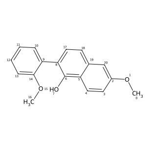 COc1ccc2c(O)c(-c3ccccc3OC)ccc2c1